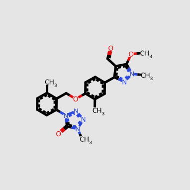 COc1c(C=O)c(-c2ccc(OCc3c(C)cccc3-n3nnn(C)c3=O)c(C)c2)nn1C